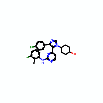 Cc1c(F)cccc1Nc1nccc(-c2c(-c3ccc(F)cc3)ncn2C2CCC(O)CC2)n1